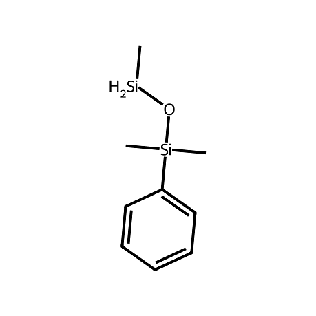 C[SiH2]O[Si](C)(C)c1ccccc1